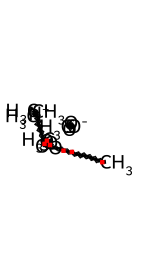 CCCCCCCCCCCCCCCCCCOCC(CS(=O)(=O)CCCCCCCCCC[N+](C)(C)C)OC.CS(=O)(=O)[O-]